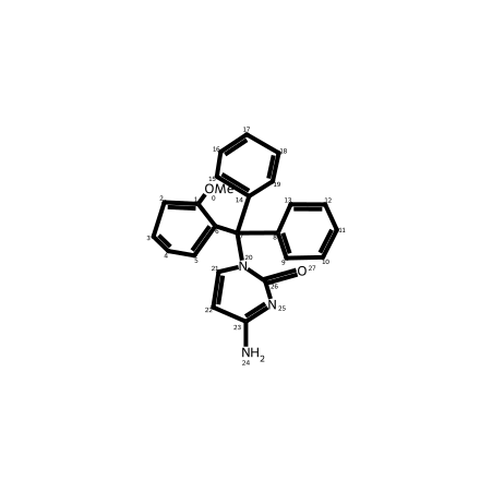 COc1ccccc1C(c1ccccc1)(c1ccccc1)n1ccc(N)nc1=O